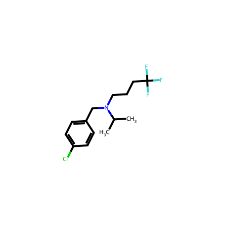 CC(C)N(CCCC(F)(F)F)Cc1ccc(Cl)cc1